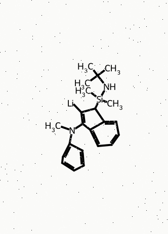 [Li][C]1=C(N(C)c2ccccc2)c2ccccc2C1[Si](C)(C)NC(C)(C)C